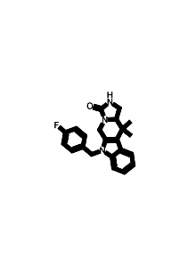 CC1(C)c2c(n(Cc3ccc(F)cc3)c3ccccc23)CN2C(=O)NCC21